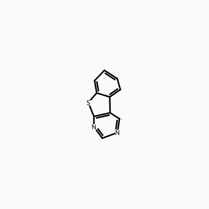 [c]1ncnc2sc3ccccc3c12